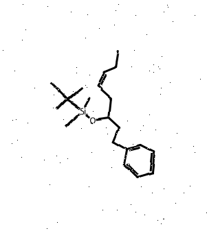 CC/C=C\CC(CCc1ccccc1)O[Si](C)(C)C(C)(C)C